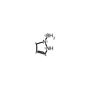 BN1CC=CN1